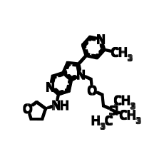 Cc1cc(-c2cc3cnc(N[C@H]4CCOC4)cc3n2COCC[Si](C)(C)C)ccn1